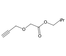 C#CCOCC(=O)OCC(C)C